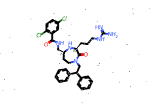 N=C(N)NCCC[C@@H]1N[C@H](CNC(=O)c2cc(Cl)ccc2Cl)CCN(CC(c2ccccc2)c2ccccc2)C1=O